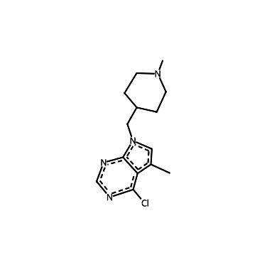 Cc1cn(CC2CCN(C)CC2)c2ncnc(Cl)c12